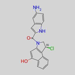 Nc1ccc2[nH]c(C(=O)N3C[C@@H](Cl)c4c3cc(O)c3ccccc43)cc2c1